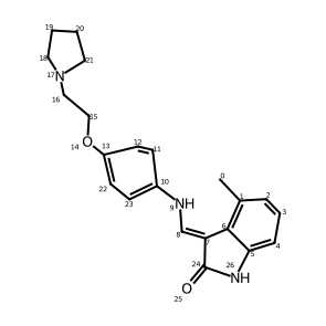 Cc1cccc2c1/C(=C\Nc1ccc(OCCN3CCCC3)cc1)C(=O)N2